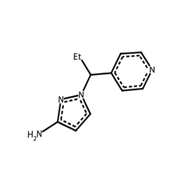 CCC(c1ccncc1)n1ccc(N)n1